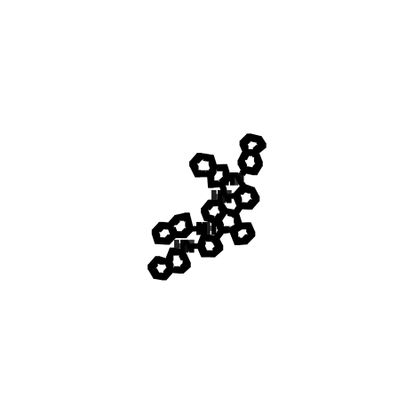 c1cc(Nc2ccc3ccccc3c2)c(Nc2ccc3ccccc3c2)c(-c2c3ccccc3c(-c3cccc(Nc4ccc5ccccc5c4)c3Nc3ccc4ccccc4c3)c3ccccc23)c1